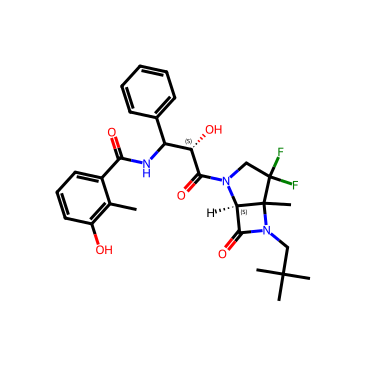 Cc1c(O)cccc1C(=O)NC(c1ccccc1)[C@H](O)C(=O)N1CC(F)(F)C2(C)[C@H]1C(=O)N2CC(C)(C)C